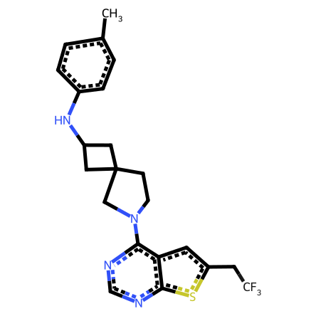 Cc1ccc(NC2CC3(CCN(c4ncnc5sc(CC(F)(F)F)cc45)C3)C2)cc1